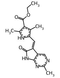 CCOC(=O)c1c(C)[nH]c(C=C2C(=O)Nc3nc(C)ncc32)c1C